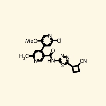 COc1cnc(Cl)cc1-c1cc(C)ncc1C(=O)Nc1nnc(C2CCC2C#N)s1